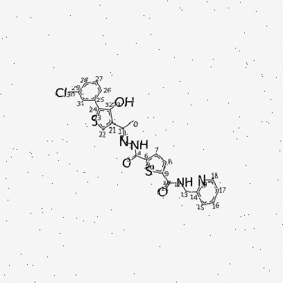 C/C(=N\NC(=O)c1ccc(C(=O)NCc2ccccn2)s1)c1csc(-c2cccc(Cl)c2)c1O